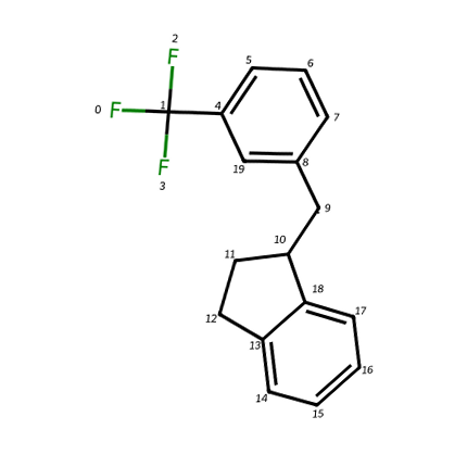 FC(F)(F)c1cccc([CH]C2CCc3ccccc32)c1